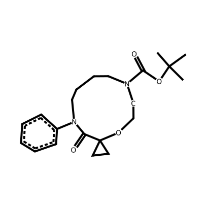 CC(C)(C)OC(=O)N1CCCCN(c2ccccc2)C(=O)C2(CC2)OCC1